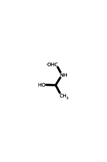 CC(O)N[C]=O